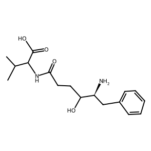 CC(C)C(NC(=O)CCC(O)[C@@H](N)Cc1ccccc1)C(=O)O